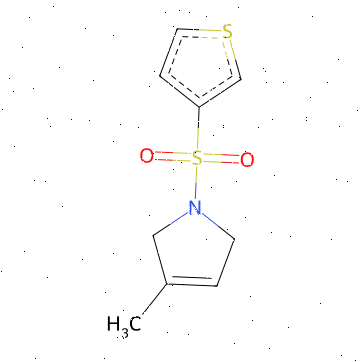 CC1=CCN(S(=O)(=O)c2ccsc2)C1